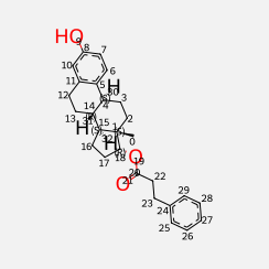 C[C@]12CC[C@@H]3c4ccc(O)cc4CC[C@H]3[C@@H]1CC[C@H]2OC(=O)CCc1ccccc1